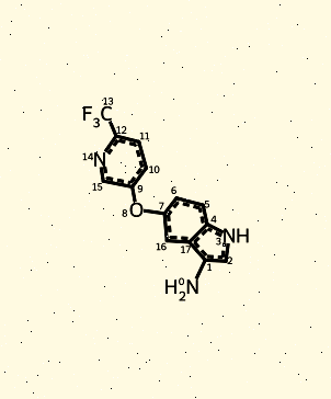 Nc1c[nH]c2ccc(Oc3ccc(C(F)(F)F)nc3)cc12